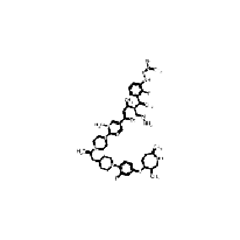 C=C1CCC(Nc2ccc(N3CCC(CC(=C)N4CCN(C5N=CC(/C(=C/C(C)C(CNN)C(=C)c6cccc(NSN(C)CC)c6F)CC)=CN5C)CC4)CC3)c(F)c2)C(C)CN1